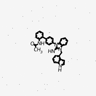 CC(=O)Nc1ccccc1-c1ccc(-n2c(=N)n(Cc3cccc4[nH]ccc34)c3ccccc32)cc1